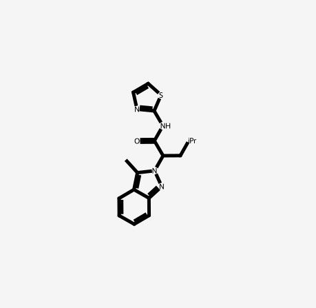 Cc1c2ccccc2nn1C(CC(C)C)C(=O)Nc1nccs1